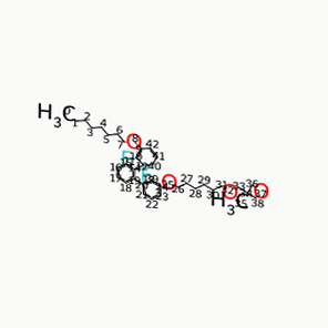 CCCCCCCCOC1=C(F)C(F)(c2ccccc2-c2cccc(OCCCCCCOCC3(C)COC3)c2)CC=C1